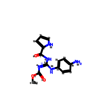 CC(C)(C)OC(=O)/N=C(/NC(=O)c1ccc[nH]1)Nc1ccc(N)cc1